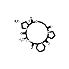 CC1NC(=O)C2CCCCN2C(=O)C2CCCN2C(=O)CCOC(=O)[C@@H]2C[C@@H](C)CN2C1=O